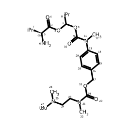 CC(C)C(OC(=O)[C@@H](N)C(C)C)OC(=O)N(C)c1ccc(COC(=O)N(C)CCN(C)C(C)(C)C)cc1